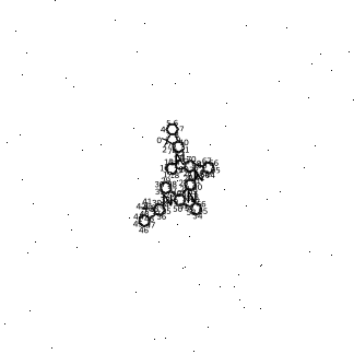 CC1(C)c2ccccc2-c2ccc(-n3c4ccccc4c4c5c6cc7c8c9c%10ccccc%10n(-c%10ccc%11c(c%10)C(C)(C)c%10ccccc%10-%11)c9cc9c%10ccccc%10n(c7cc6n6c7ccccc7c(cc43)c56)c98)cc21